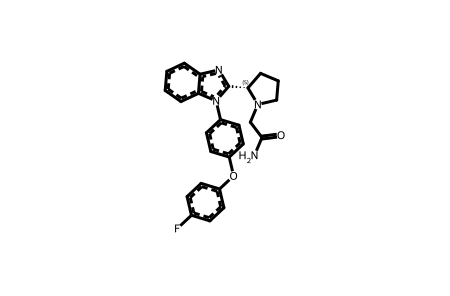 NC(=O)CN1CCC[C@H]1c1nc2ccccc2n1-c1ccc(Oc2ccc(F)cc2)cc1